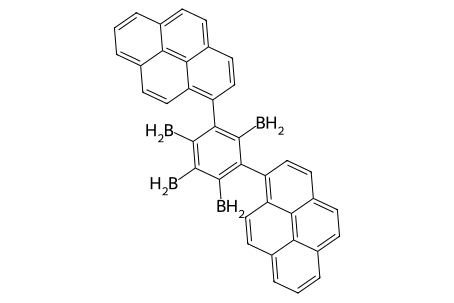 Bc1c(B)c(-c2ccc3ccc4cccc5ccc2c3c45)c(B)c(-c2ccc3ccc4cccc5ccc2c3c45)c1B